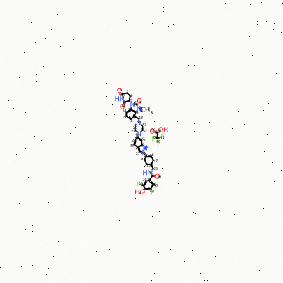 Cn1c(=O)n([C@@H]2CCC(=O)NC2=O)c2cccc(CN3CCN(c4ccc5cn(C6CCC(CNC(=O)c7cc(F)c(O)c(F)c7F)CC6)nc5c4)CC3)c21.O=C(O)C(F)(F)F